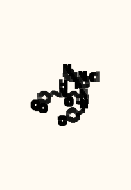 COc1ccc(CN2CCN(c3cc(Cl)nc(-n4ccnc4)n3)C(CC(=O)NCCc3ccc4c(c3)OCO4)C2)cc1